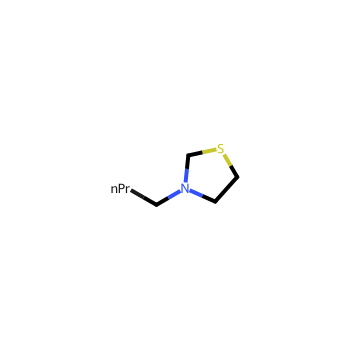 CCCCN1CCSC1